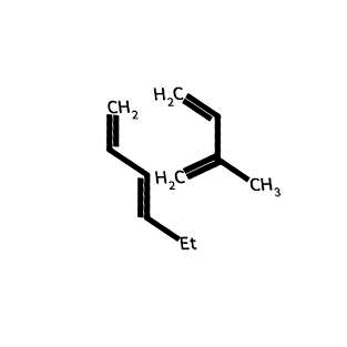 C=C/C=C/CC.C=CC(=C)C